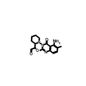 Cc1ccc2nc(C)n(N3CCCCC3C(=O)C=O)c(=O)c2c1N